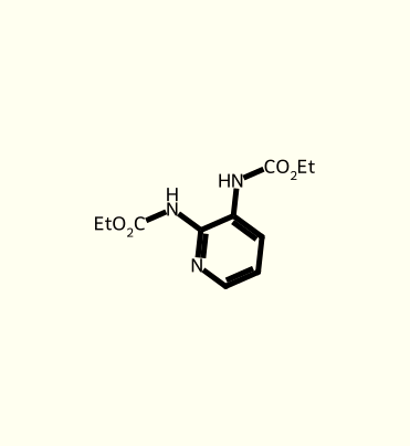 CCOC(=O)Nc1cccnc1NC(=O)OCC